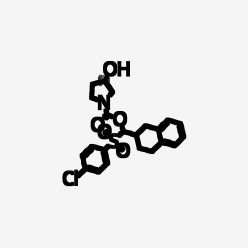 O=C(OC(C1CCc2ccccc2C1)S(=O)(=O)c1ccc(Cl)cc1)N1CC[C@@H](O)C1